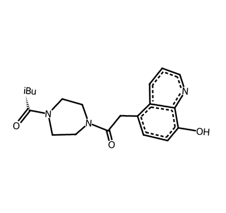 CC[C@@H](C)C(=O)N1CCN(C(=O)Cc2ccc(O)c3ncccc23)CC1